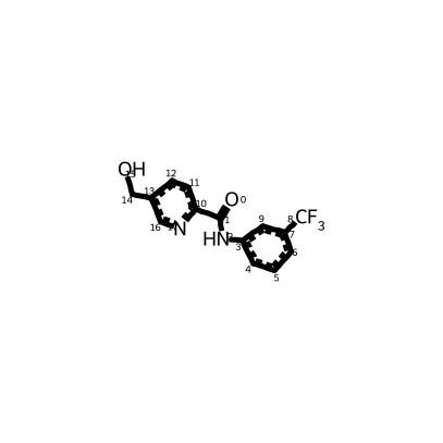 O=C(Nc1cccc(C(F)(F)F)c1)c1ccc(CO)cn1